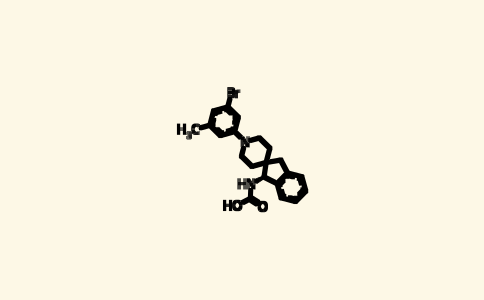 Cc1cc(Br)cc(N2CCC3(CC2)Cc2ccccc2[C@H]3NC(=O)O)c1